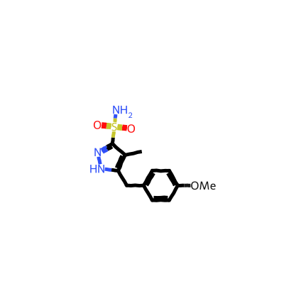 COc1ccc(Cc2[nH]nc(S(N)(=O)=O)c2C)cc1